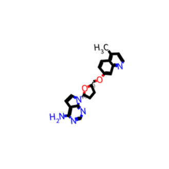 Cc1ccnc2cc(OC[C@@H]3CC[C@H](n4ccc5c(N)ncnc54)O3)ccc12